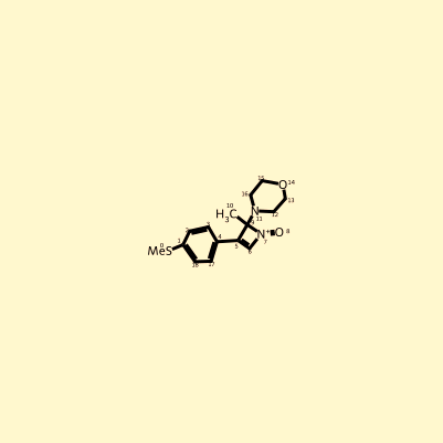 CSc1ccc(C2=C[N+](=O)C2(C)N2CCOCC2)cc1